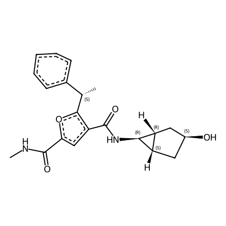 CNC(=O)c1cc(C(=O)N[C@H]2[C@@H]3C[C@@H](O)C[C@@H]32)c([C@@H](C)c2ccccc2)o1